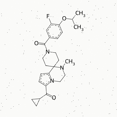 CC(C)Oc1ccc(C(=O)N2CCC3(CC2)c2ccc(C(=O)C4CC4)n2CCN3C)cc1F